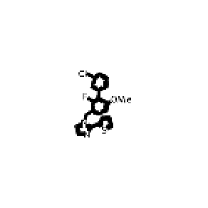 COc1ccc(Cn2ccnc2-c2cccs2)c(F)c1-c1cccc(Cl)c1